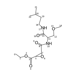 CCOC(=O)C1OC1C(=O)NC(COC)C(=O)NCCC(C)C